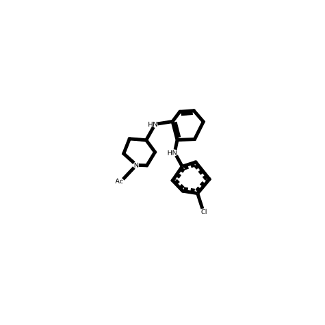 CC(=O)N1CCC(NC2=C(Nc3ccc(Cl)cc3)CCC=C2)CC1